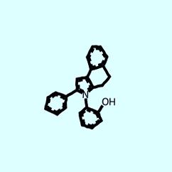 Oc1ccccc1-n1c(-c2ccccc2)cc2c1CCc1ccccc1-2